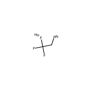 CCCCC(F)(F)F.[Ho]